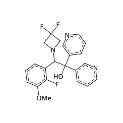 COc1cccc(C(N2CC(F)(F)C2)C(O)(c2cccnc2)c2cccnc2)c1F